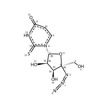 [N-]=[N+]=N[C@]1(CO)O[C@@H](n2ccc(=O)[nH]c2=S)[C@H](O)[C@@H]1O